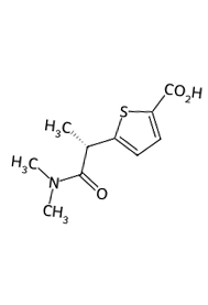 C[C@@H](C(=O)N(C)C)c1ccc(C(=O)O)s1